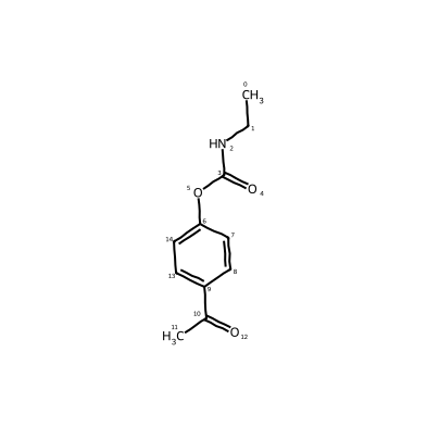 CCNC(=O)Oc1ccc(C(C)=O)cc1